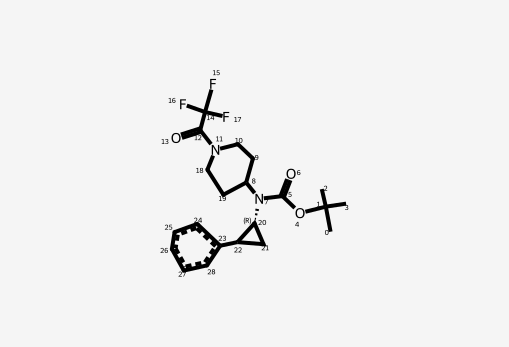 CC(C)(C)OC(=O)N(C1CCN(C(=O)C(F)(F)F)CC1)[C@@H]1CC1c1ccccc1